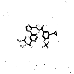 CC(C)N(C)C(=O)c1cc(-n2ncnc2[C@H](C)NC(=O)c2cc(OC(F)(F)F)cc(C3CC3)c2)ncn1